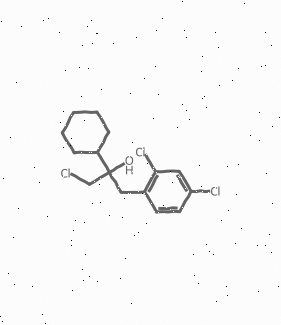 OC(CCl)(Cc1ccc(Cl)cc1Cl)C1CCCCC1